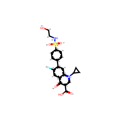 O=C(O)c1cn(C2CC2)c2cc(-c3ccc(S(=O)(=O)NCCO)cc3)c(F)cc2c1=O